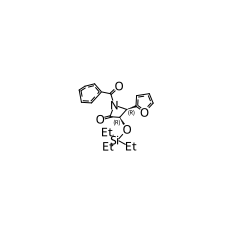 CC[Si](CC)(CC)O[C@H]1C(=O)N(C(=O)c2ccccc2)[C@H]1c1ccco1